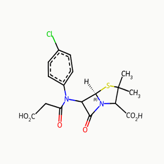 CC1(C)S[C@@H]2C(N(C(=O)CC(=O)O)c3ccc(Cl)cc3)C(=O)N2C1C(=O)O